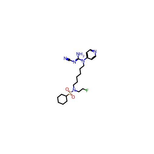 N#CN=C(N)N(CCCCCCN(CCF)S(=O)(=O)C1CCCCC1)c1ccncc1